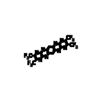 FC(F)(F)c1nc2nc3cc4nc5nc(C(F)(F)F)c(C(F)(F)F)nc5nc4cc3nc2nc1C(F)(F)F